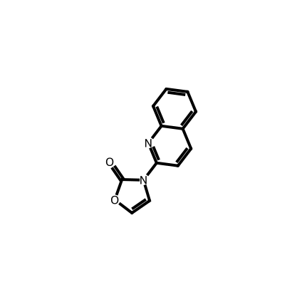 O=c1occn1-c1ccc2ccccc2n1